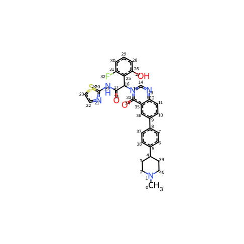 CN1CCC(c2ccc(-c3ccc4ncn(C(C(=O)Nc5nccs5)c5c(O)cccc5F)c(=O)c4c3)cc2)CC1